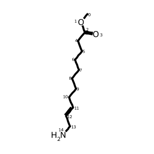 COC(=O)CCCCCCC/C=C/CN